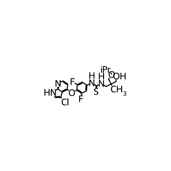 CC(C)OCC(C)(CO)CNC(=S)Nc1cc(F)c(Oc2ccnc3[nH]cc(Cl)c23)c(F)c1